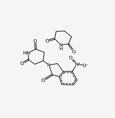 O=C1CC(N2Cc3c(cccc3[N+](=O)[O-])C2=O)CC(=O)N1.O=C1CCCC(=O)N1